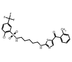 Cc1ccccc1C(=O)c1cnc(NCCCCCNS(=O)(=O)c2cc(C(F)(F)F)ccc2Cl)s1